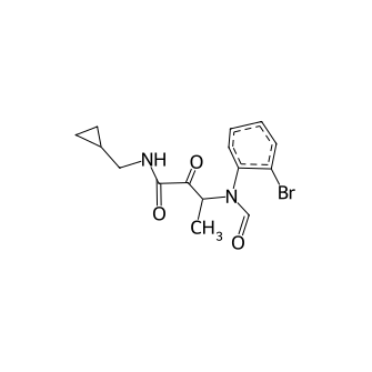 CC(C(=O)C(=O)NCC1CC1)N(C=O)c1ccccc1Br